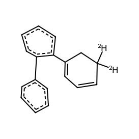 [2H]C1([2H])C=CC=C(c2ccccc2-c2ccccc2)C1